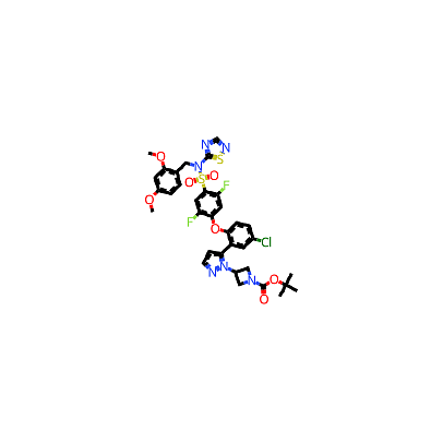 COc1ccc(CN(c2ncns2)S(=O)(=O)c2cc(F)c(Oc3ccc(Cl)cc3-c3ccnn3C3CN(C(=O)OC(C)(C)C)C3)cc2F)c(OC)c1